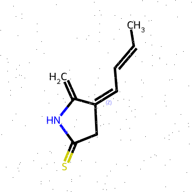 C=C1NC(=S)C/C1=C/C=CC